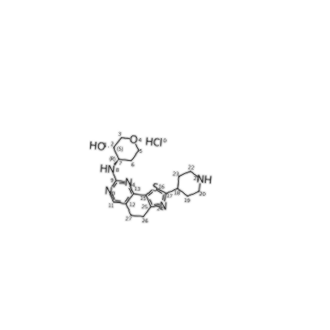 Cl.O[C@@H]1COCC[C@H]1Nc1ncc2c(n1)-c1sc(C3CCNCC3)nc1CC2